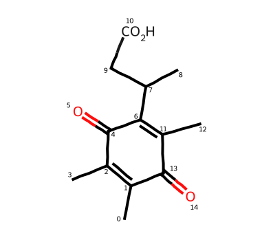 CC1=C(C)C(=O)C(C(C)CC(=O)O)=C(C)C1=O